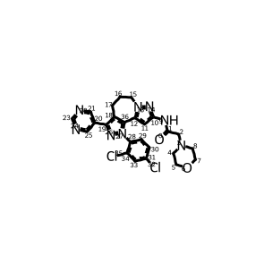 O=C(CN1CCOCC1)Nc1cc2n(n1)CCCc1c(-c3cncnc3)nn(-c3ccc(Cl)cc3Cl)c1-2